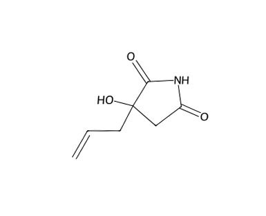 C=CCC1(O)CC(=O)NC1=O